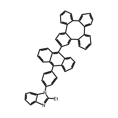 CCc1nc2ccccc2n1-c1ccc(-c2c3ccccc3c(-c3ccc4c(c3)-c3ccccc3-c3ccccc3-c3ccccc3-4)c3ccccc23)cc1